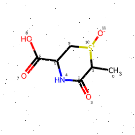 CC1C(=O)NC(C(=O)O)C[S+]1[O-]